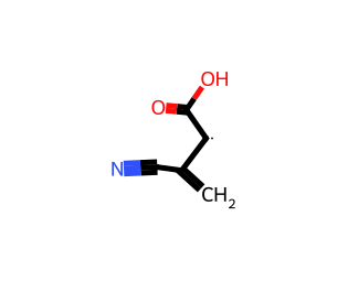 C=C(C#N)[CH]C(=O)O